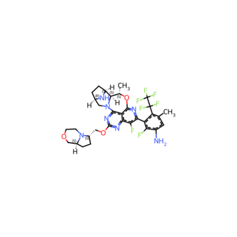 Cc1cc(N)c(F)c(-c2nc3c4c(nc(OC[C@@H]5CC[C@H]6COCCN65)nc4c2F)N2C[C@H]4CC[C@H](N4)[C@H]2[C@H](C)O3)c1C(F)(F)C(F)(F)F